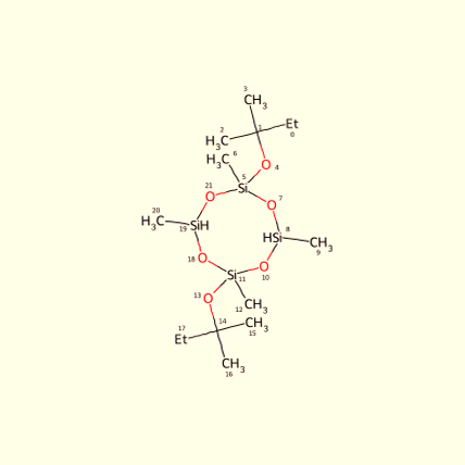 CCC(C)(C)O[Si]1(C)O[SiH](C)O[Si](C)(OC(C)(C)CC)O[SiH](C)O1